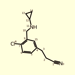 N#CCCc1ccc(Cl)c(CNC2CC2)c1